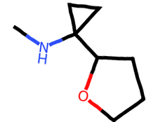 CNC1(C2CCCO2)CC1